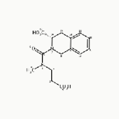 CN(CCC(=O)O)C(=O)N1Cc2ccccc2C[C@H]1C(=O)O